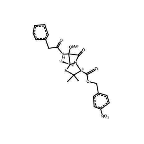 COC1(NC(=O)Cc2ccccc2)C(=O)N2[C@@H](C(=O)OCc3ccc([N+](=O)[O-])cc3)C(C)(C)S[C@@H]21